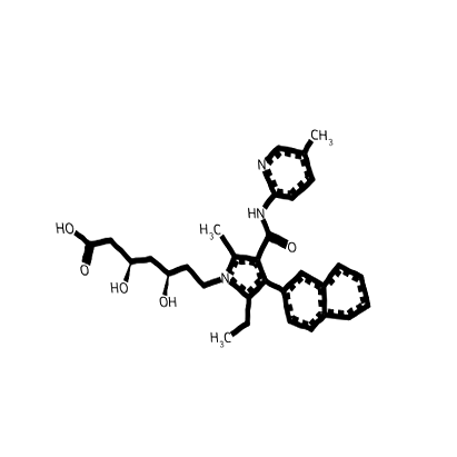 CCc1c(-c2ccc3ccccc3c2)c(C(=O)Nc2ccc(C)cn2)c(C)n1CC[C@@H](O)C[C@@H](O)CC(=O)O